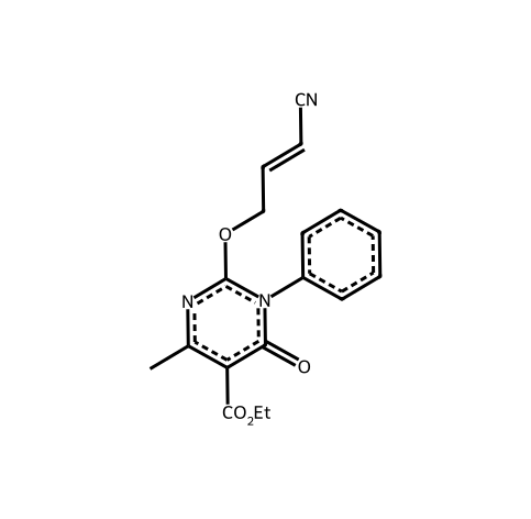 CCOC(=O)c1c(C)nc(OCC=CC#N)n(-c2ccccc2)c1=O